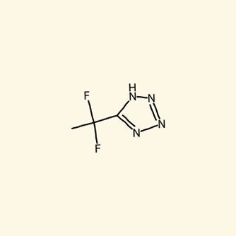 CC(F)(F)c1nnn[nH]1